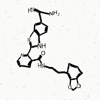 N=C(N)c1ccc2[nH]c(-c3ncccc3C(=O)NCCc3cccc4c3OCO4)nc2c1